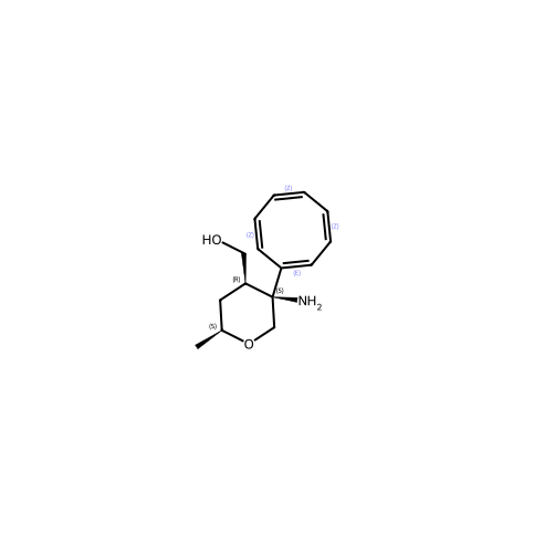 C[C@H]1C[C@@H](CO)[C@](N)(C2=C/C=C\C=C/C=C\2)CO1